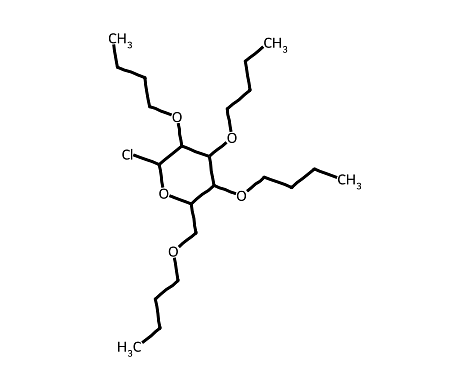 CCCCOCC1OC(Cl)C(OCCCC)C(OCCCC)C1OCCCC